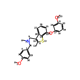 COc1ccc(CN(C)Cc2c(C)sc3c(Oc4cccc(OC)c4)cccc23)cc1